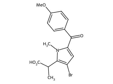 COc1ccc(C(=O)c2cc(Br)c(C(C)C(=O)O)n2C)cc1